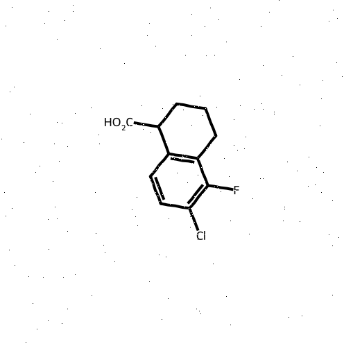 O=C(O)C1CCCc2c1ccc(Cl)c2F